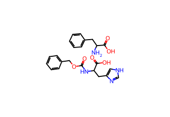 NC(Cc1ccccc1)C(=O)O.O=C(NC(Cc1c[nH]cn1)C(=O)O)OCc1ccccc1